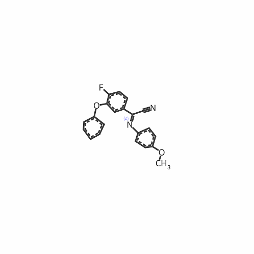 COc1ccc(/N=C(\C#N)c2ccc(F)c(Oc3ccccc3)c2)cc1